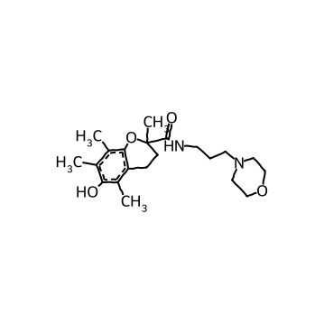 Cc1c(C)c2c(c(C)c1O)CCC(C)(C(=O)NCCCN1CCOCC1)O2